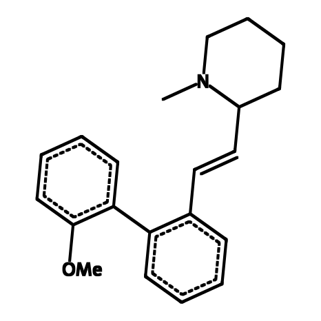 COc1ccccc1-c1ccccc1C=CC1CCCCN1C